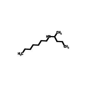 CCCCCCCNC(C)CCC